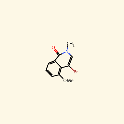 COc1cccc2c(=O)n(C)cc(Br)c12